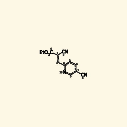 CCOC(=O)/C(C#N)=C/c1ccc(C#N)cn1